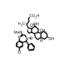 CNC1=Nc2ccc(Cl)cc2C(c2ccccc2)=[N+]([O-])C1.C[C@H](CCC(=O)O)[C@H]1CCC2C3CC[C@@H]4C[C@H](O)CC[C@]4(C)C3C[C@H](O)[C@@]21C